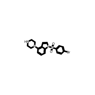 O=S(=O)(c1ccc(Br)cc1)n1ccc2c(N3CCNCC3)cccc21